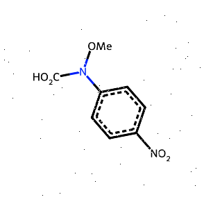 CON(C(=O)O)c1ccc([N+](=O)[O-])cc1